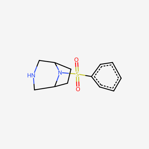 O=S(=O)(c1ccccc1)N1C2CCC1CNC2